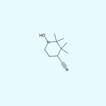 CC1(C)C(C#N)CCN(O)C1(C)C